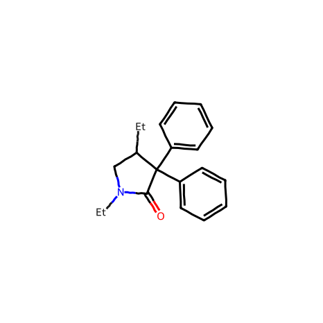 CCC1CN(CC)C(=O)C1(c1ccccc1)c1ccccc1